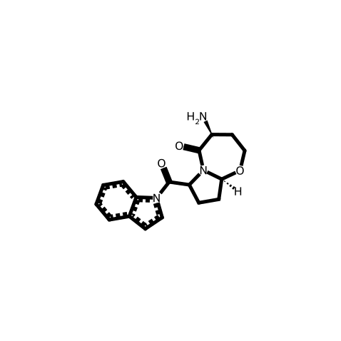 N[C@H]1CCO[C@H]2CCC(C(=O)n3ccc4ccccc43)N2C1=O